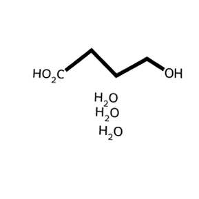 O.O.O.O=C(O)CCCO